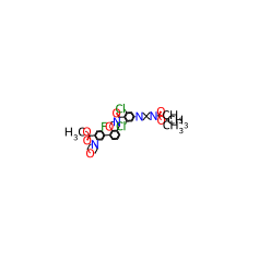 COC(=O)c1cc(F)c(-c2cccc3c2OCN(C(=O)c2c(Cl)cc(N4CC5(CN(C(=O)OC(C)(C)C)C5)C4)cc2Cl)C3)cc1N1CCOCC1